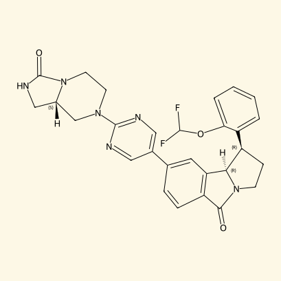 O=C1NC[C@H]2CN(c3ncc(-c4ccc5c(c4)[C@H]4[C@@H](c6ccccc6OC(F)F)CCN4C5=O)cn3)CCN12